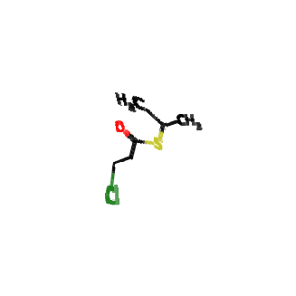 CC(C)SC(=O)CCCl